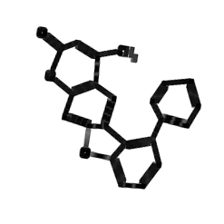 Cc1cc(=O)oc2cc3oc4cccc(-c5ccccc5)c4c3cc12